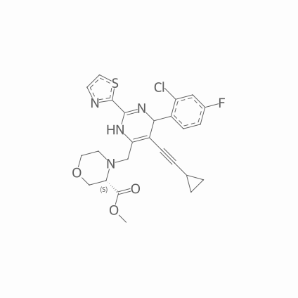 COC(=O)[C@@H]1COCCN1CC1=C(C#CC2CC2)C(c2ccc(F)cc2Cl)N=C(c2nccs2)N1